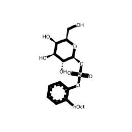 CCCCCCCCc1ccccc1OS(=O)(=O)O[C@@H]1O[C@H](CO)[C@H](O)[C@H](O)[C@H]1O